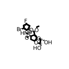 CCOC(=O)C1=CC2(CCC1S(=O)(=O)Nc1ccc(F)cc1Br)O[C@H](CO)[C@@H](CO)O2